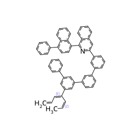 C=C/C=C(\C=C/C)c1cc(-c2ccccc2)cc(-c2cccc(-c3cccc(-c4cc5ccccc5c(-c5ccc(-c6ccccc6)c6ccccc56)n4)c3)c2)c1